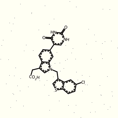 O=C(O)Cc1cn(Cc2csc3ccc(Cl)cc23)c2cc(-c3c[nH]c(=O)[nH]c3=O)ccc12